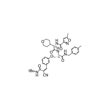 Cc1ccc(CNC(=O)[C@H](COc2cccc(C=C(C#N)C(=O)NC(C)(C)C)c2)NC(=O)[C@@H](NC(=O)c2cc(C)on2)C2CCOCC2)cc1